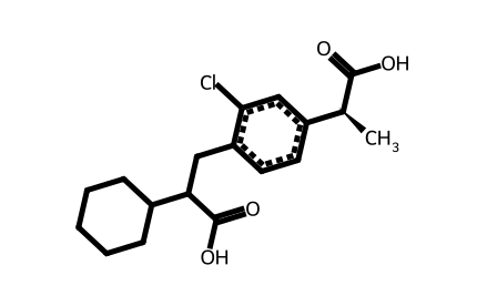 C[C@H](C(=O)O)c1ccc(CC(C(=O)O)C2CCCCC2)c(Cl)c1